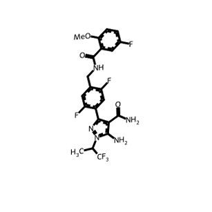 COc1ccc(F)cc1C(=O)NCc1cc(F)c(-c2nn(C(C)C(F)(F)F)c(N)c2C(N)=O)cc1F